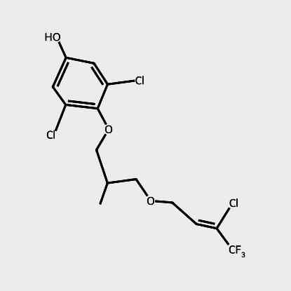 CC(COC/C=C(\Cl)C(F)(F)F)COc1c(Cl)cc(O)cc1Cl